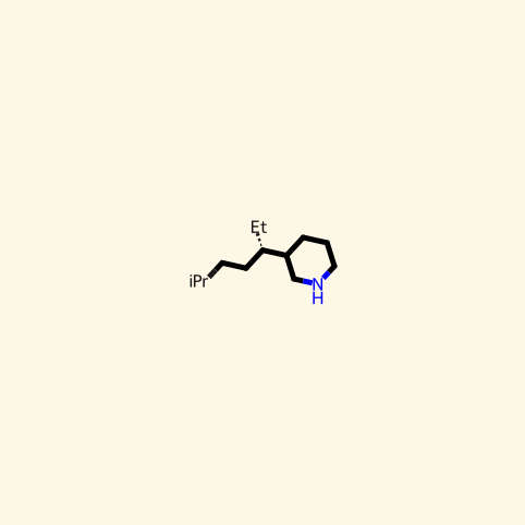 CC[C@@H](CCC(C)C)C1CCCNC1